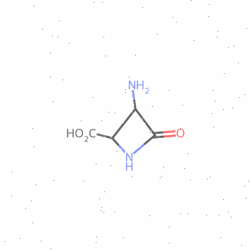 NC1C(=O)NC1C(=O)O